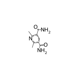 Cc1nc(C)c(C(N)=O)cc1C(N)=O